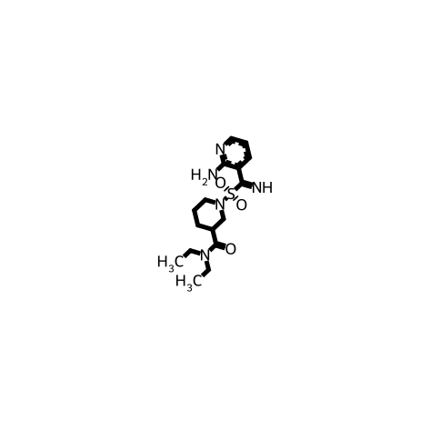 CCN(CC)C(=O)C1CCCN(S(=O)(=O)C(=N)c2cccnc2N)C1